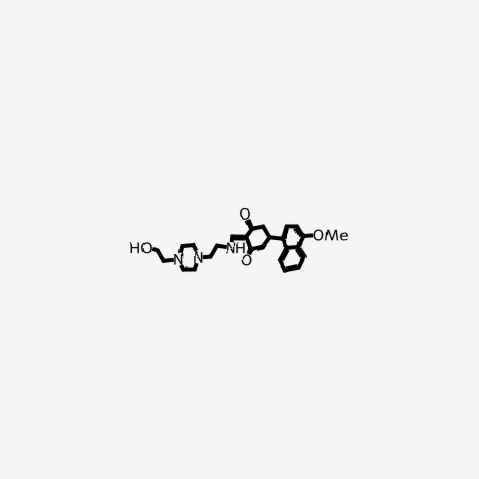 COc1ccc(C2CC(=O)C(=CNCCN3CCN(CCO)CC3)C(=O)C2)c2ccccc12